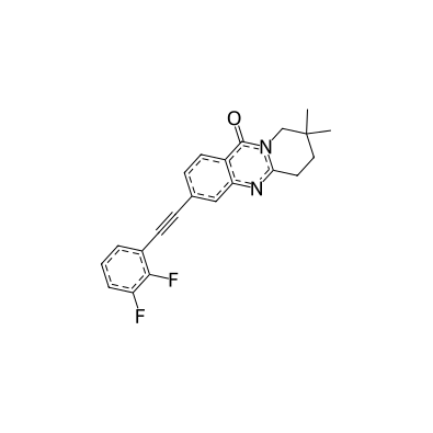 CC1(C)CCc2nc3cc(C#Cc4cccc(F)c4F)ccc3c(=O)n2C1